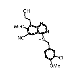 COc1ccc(CNc2ncnc3c(CCO)c(OC)c(C#N)cc23)cc1Cl